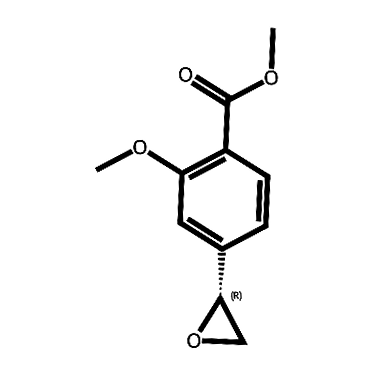 COC(=O)c1ccc([C@@H]2CO2)cc1OC